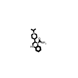 CC(C)N1CCC(C2CNc3ccccc3N2C(N)=O)CC1